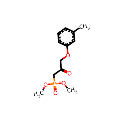 COP(=O)(CC(=O)COc1cccc(C)c1)OC